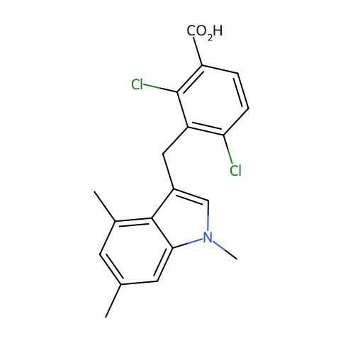 Cc1cc(C)c2c(Cc3c(Cl)ccc(C(=O)O)c3Cl)cn(C)c2c1